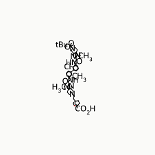 Cc1c(NC(=O)c2nc3c(n2C)CCN(CCC24CCC(C(=O)O)(CC2)C4)C3)cccc1-c1cccc(NC(=O)c2nc3c(n2C)CCN(C(=O)OC(C)(C)C)C3)c1Cl